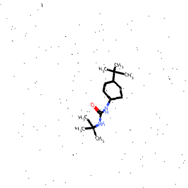 CC(C)(C)NC(=O)NC1CCC(C(C)(C)C)CC1